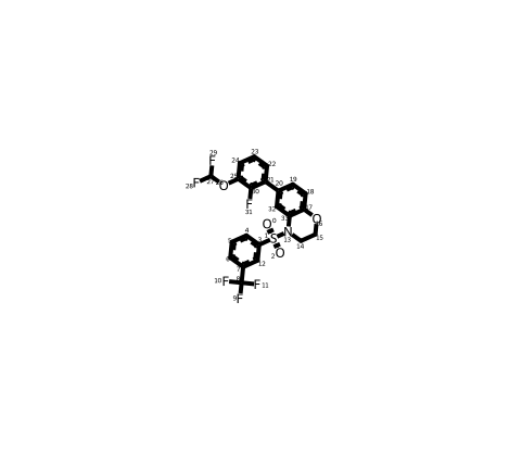 O=S(=O)(c1cccc(C(F)(F)F)c1)N1CCOc2ccc(-c3cccc(OC(F)F)c3F)cc21